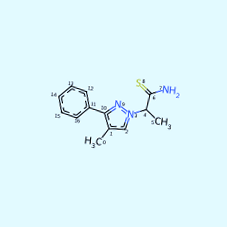 Cc1cn(C(C)C(N)=S)nc1-c1ccccc1